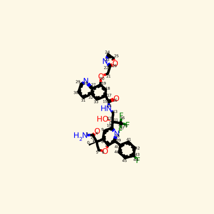 C[C@]1(C(N)=O)COc2c1cc([C@@](O)(CNC(=O)c1cc(OCc3ncco3)c3ncccc3c1)C(F)(F)F)nc2-c1ccc(F)cc1